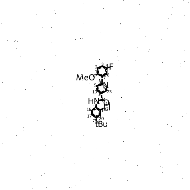 COc1ccc(F)cc1-c1ccc(C(=O)Nc2ccc(C(C)(C)C)cc2Cl)cn1